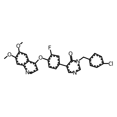 COc1cc2nccc(Oc3ccc(-c4cncn(Cc5ccc(Cl)cc5)c4=O)cc3F)c2cc1OC